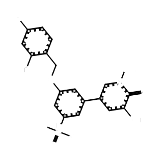 Cc1cc(-c2cc(OCc3ccc(F)cc3F)cc([SH](C)(C)=O)c2)cn(C)c1=O